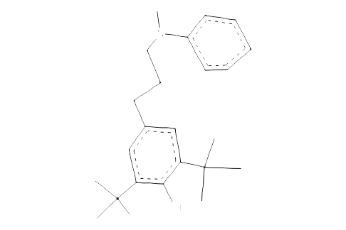 CN(CCCc1cc(C(C)(C)C)c(O)c(C(C)(C)C)c1)c1ccccc1